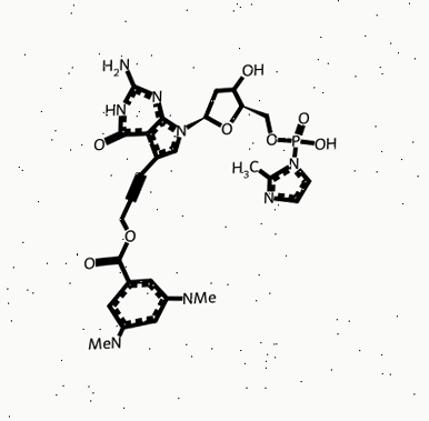 CNc1cc(NC)cc(C(=O)OCC#Cc2cn([C@H]3CC(O)[C@@H](COP(=O)(O)n4ccnc4C)O3)c3nc(N)[nH]c(=O)c23)c1